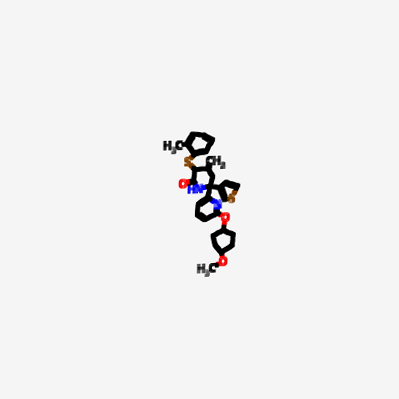 C=C1CC(c2ccsc2)(c2cccc(OC3CCC(OC)CC3)n2)NC(=O)C1Sc1ccccc1C